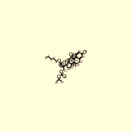 CCCCCOC(=O)O[C@]1(C(=O)COC(=O)OC(C)C)CC[C@H]2[C@@H]3CCC4=CC(=O)C=C[C@]4(C)[C@H]3C(O)C[C@@]21C